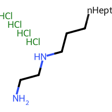 CCCCCCCCCCNCCN.Cl.Cl.Cl.Cl